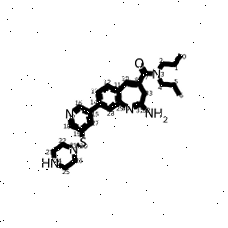 CCCN(CCC)C(=O)C1=Cc2ccc(-c3cncc(SN4CCNCC4)c3)cc2N=C(N)C1